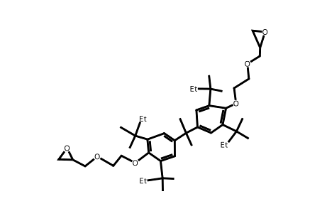 CCC(C)(C)c1cc(C(C)(C)c2cc(C(C)(C)CC)c(OCCOCC3CO3)c(C(C)(C)CC)c2)cc(C(C)(C)CC)c1OCCOCC1CO1